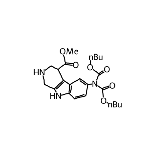 CCCCOC(=O)N(C(=O)OCCCC)c1ccc2[nH]c3c(c2c1)C(C(=O)OC)CNC3